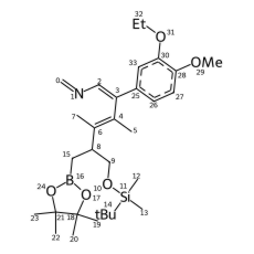 C=N/C=C(\C(C)=C(/C)C(CO[Si](C)(C)C(C)(C)C)CB1OC(C)(C)C(C)(C)O1)c1ccc(OC)c(OCC)c1